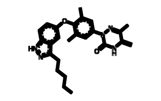 C=C1NC(=O)N(c2cc(C)c(Oc3ccc4[nH]nc(CCCCC)c4c3)c(C)c2)N=C1C